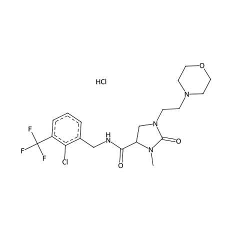 CN1C(=O)N(CCN2CCOCC2)CC1C(=O)NCc1cccc(C(F)(F)F)c1Cl.Cl